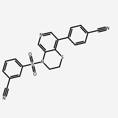 N#Cc1ccc(-c2cncc3c2SCCN3S(=O)(=O)c2cccc(C#N)c2)cc1